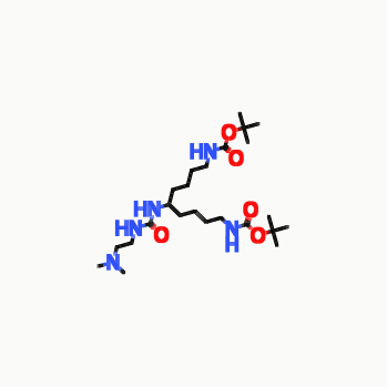 CN(C)CCNC(=O)NC(CCCCNC(=O)OC(C)(C)C)CCCCNC(=O)OC(C)(C)C